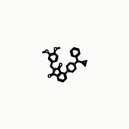 COc1ccc(CN2C(=O)c3cccc(N4CCN(C(c5ccccc5)C5CC5)CC4)c3C2=O)cc1OC